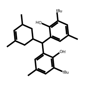 CC1=CC(C)CC(C(c2cc(C)cc(C(C)(C)C)c2O)c2cc(C)cc(C(C)(C)C)c2O)C1